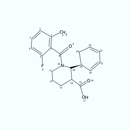 Cc1cccc(F)c1C(=O)N1CCCC(C(=O)O)C1[C@@H]1C=CC=CC1